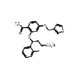 CCOC(=O)CCC(Oc1cc(OCc2ccsc2)ccc1C(=O)C(F)(F)F)c1ccccc1C